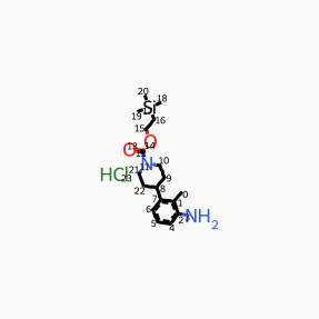 Cc1c(N)cccc1C1CCN(C(=O)OCC[Si](C)(C)C)CC1.Cl